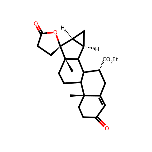 CCOC(=O)[C@@H]1CC2=CC(=O)CC[C@]2(C)C2CC[C@@]3(C)C(C21)[C@@H]1C[C@@H]1[C@]31CCC(=O)O1